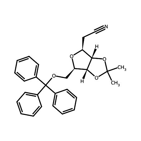 CC1(C)O[C@@H]2[C@H](O1)[C@@H](COC(c1ccccc1)(c1ccccc1)c1ccccc1)O[C@H]2CC#N